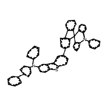 c1ccc(-c2ccc(N(c3ccccc3)c3ccc4sc5ccc(-c6ccc7c(c6)C6(c8ccccc8-7)c7ccccc7N(c7ccccc7)c7ccccc76)cc5c4c3)cc2)cc1